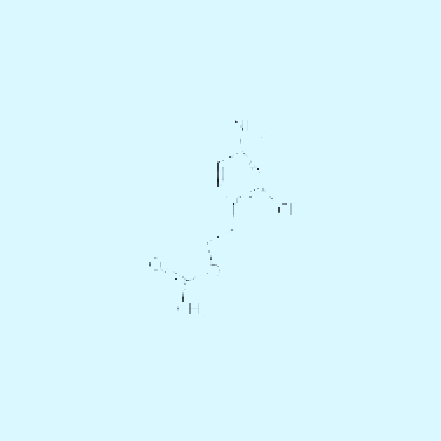 CC(=O)OCCc1ccc(N)cc1Cl